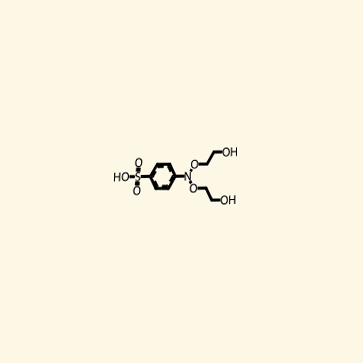 O=S(=O)(O)c1ccc(N(OCCO)OCCO)cc1